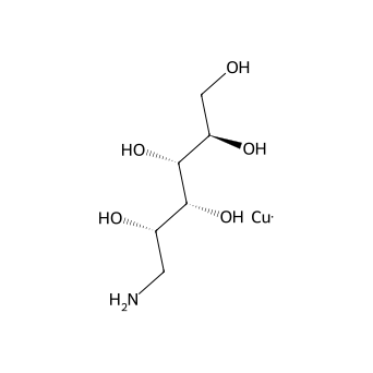 NC[C@H](O)[C@@H](O)[C@H](O)[C@H](O)CO.[Cu]